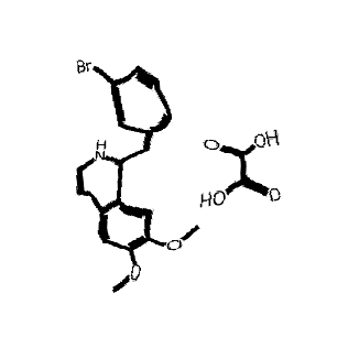 COc1cc2c(cc1OC)C(Cc1cccc(Br)c1)NCC2.O=C(O)C(=O)O